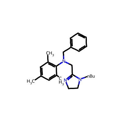 CCCCN1CCN=C1CN(Cc1ccccc1)c1c(C)cc(C)cc1C